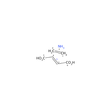 C=C.N.O=C(O)/C=C/C(=O)O